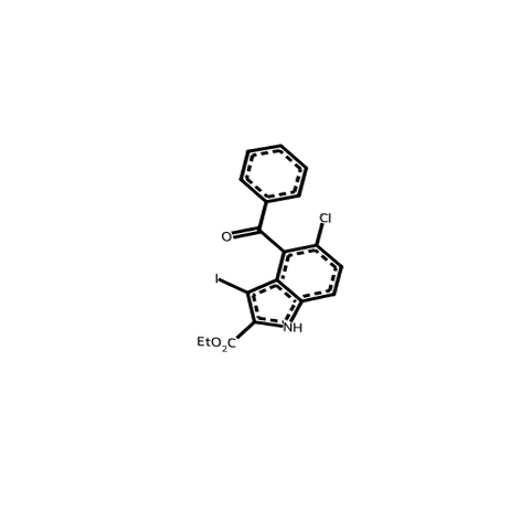 CCOC(=O)c1[nH]c2ccc(Cl)c(C(=O)c3ccccc3)c2c1I